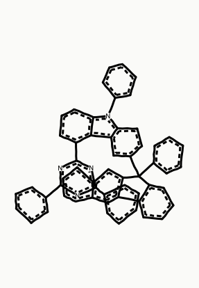 c1ccc(-c2nc(-c3ccccc3)nc(-c3cccc4c3c3cc(C5(c6ccccc6)c6ccccc6-c6cc7ccccc7cc65)ccc3n4-c3ccccc3)n2)cc1